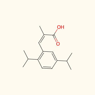 CC(=Cc1cc(C(C)C)ccc1C(C)C)C(=O)O